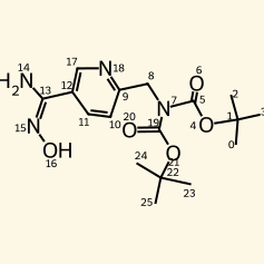 CC(C)(C)OC(=O)N(Cc1ccc(/C(N)=N\O)cn1)C(=O)OC(C)(C)C